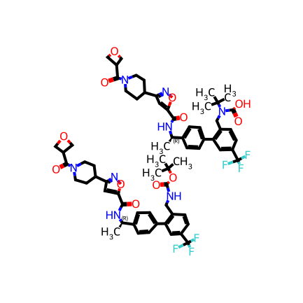 C[C@@H](NC(=O)c1cc(C2CCN(C(=O)C3COC3)CC2)no1)c1ccc(-c2cc(C(F)(F)F)ccc2CN(C(=O)O)C(C)(C)C)cc1.C[C@@H](NC(=O)c1cc(C2CCN(C(=O)C3COC3)CC2)no1)c1ccc(-c2cc(C(F)(F)F)ccc2CNC(=O)OC(C)(C)C)cc1